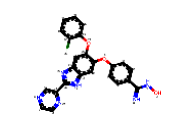 N=C(NO)c1ccc(Oc2cc3[nH]c(-c4cnccn4)nc3cc2Oc2ccccc2F)cc1